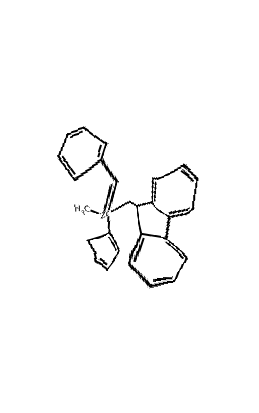 [CH3][Zr](=[CH]c1ccccc1)([C]1=CC=CC1)[CH]1c2ccccc2-c2ccccc21